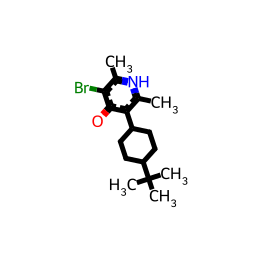 Cc1[nH]c(C)c(C2CCC(C(C)(C)C)CC2)c(=O)c1Br